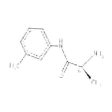 Cc1cccc(NC(=O)[C@H](C)N)c1